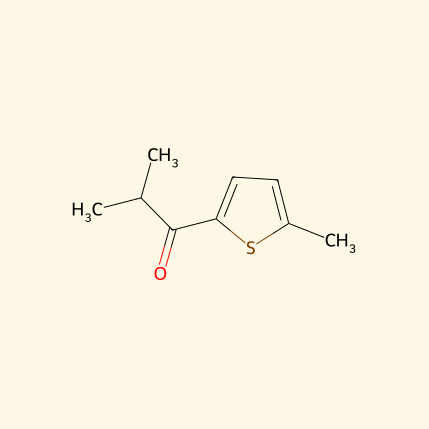 Cc1ccc(C(=O)C(C)C)s1